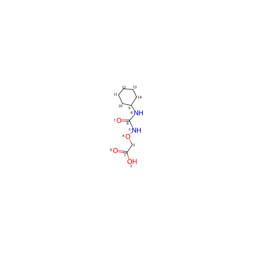 O=C(O)CONC(=O)NC1CCCCC1